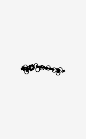 CCOC(=O)COCCOCCOCC(=O)OC1CCN(C(=O)OC(C)(C)C)CC1